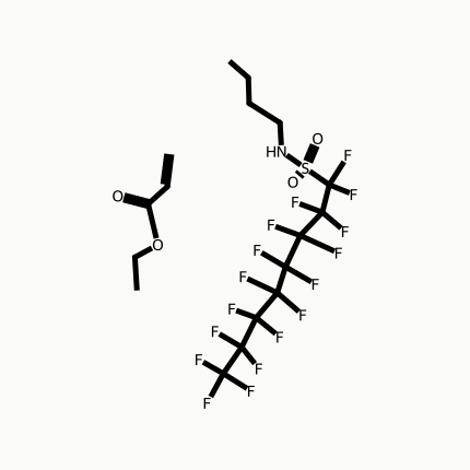 C=CC(=O)OCC.CCCCNS(=O)(=O)C(F)(F)C(F)(F)C(F)(F)C(F)(F)C(F)(F)C(F)(F)C(F)(F)C(F)(F)F